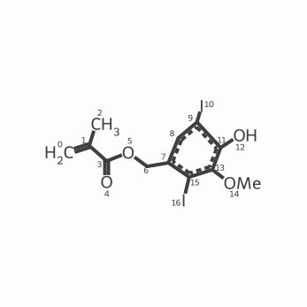 C=C(C)C(=O)OCc1cc(I)c(O)c(OC)c1I